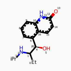 CCC(NC(C)C)[C@H](O)c1cccc2[nH]c(=O)ccc12